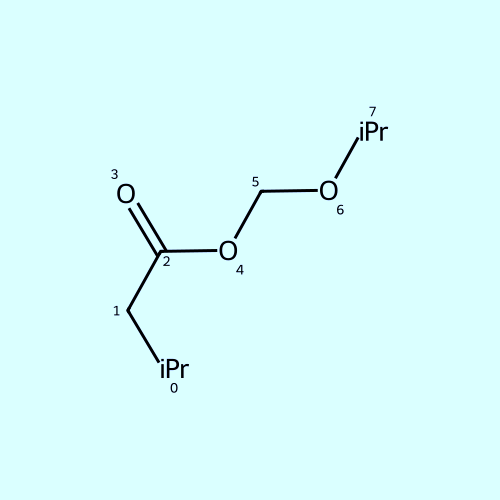 CC(C)CC(=O)OCOC(C)C